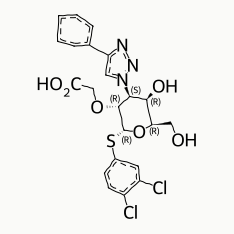 O=C(O)CO[C@@H]1[C@@H](n2cc(-c3ccccc3)nn2)[C@@H](O)[C@@H](CO)O[C@@H]1Sc1ccc(Cl)c(Cl)c1